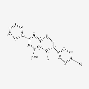 CNc1nc(-c2cccnc2)nc2ccc(-c3ccc(Cl)cc3)c(F)c12